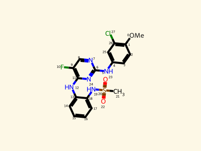 COc1ccc(Nc2ncc(F)c(Nc3ccccc3NS(C)(=O)=O)n2)cc1Cl